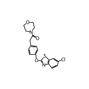 O=C(Cc1ccc(Oc2nc3ccc(Cl)cc3s2)cc1)N1CCOCC1